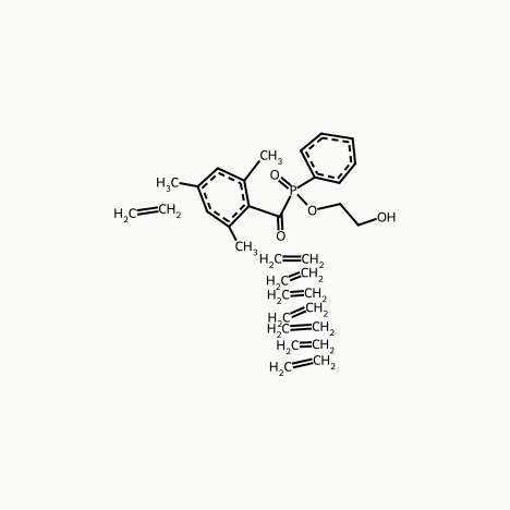 C=C.C=C.C=C.C=C.C=C.C=C.C=C.C=C.Cc1cc(C)c(C(=O)P(=O)(OCCO)c2ccccc2)c(C)c1